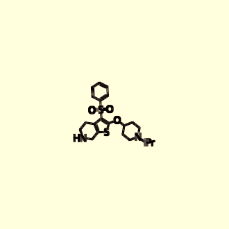 CC(C)N1CCC(Oc2sc3c(c2S(=O)(=O)c2ccccc2)CCNC3)CC1